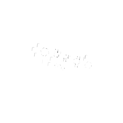 CCCOC(=O)C(c1cc(-c2ccc(C(F)(F)F)cc2C(F)(F)F)no1)N1Cc2nc(-c3ccccc3F)[nH]c2C=N1